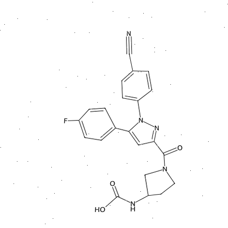 N#Cc1ccc(-n2nc(C(=O)N3CCC(NC(=O)O)C3)cc2-c2ccc(F)cc2)cc1